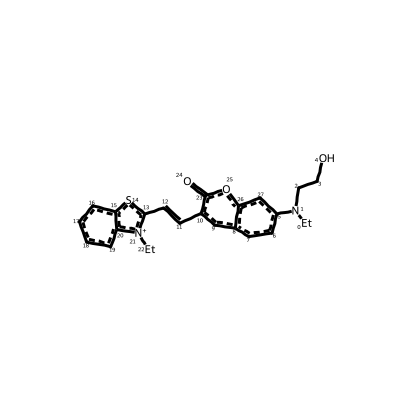 CCN(CCO)c1ccc2cc(/C=C/c3sc4ccccc4[n+]3CC)c(=O)oc2c1